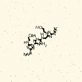 C=C(/N=N\C(=N/N)n1nc(N=[N+]=[N-])nc1NCCO)NCc1nc(N=[N+]=[N-])nn1CCO